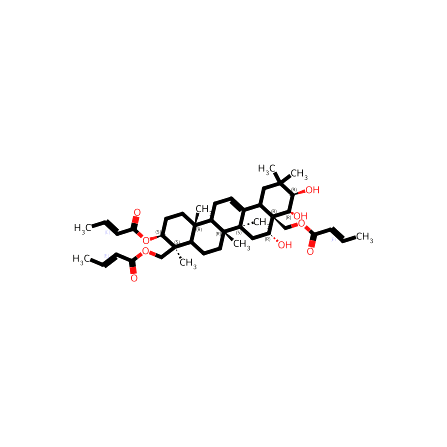 C/C=C/C(=O)OC[C@@]12C(CC(C)(C)[C@@H](O)[C@@H]1O)C1=CCC3[C@@]4(C)CC[C@H](OC(=O)/C=C/C)[C@](C)(COC(=O)/C=C/C)C4CC[C@@]3(C)[C@]1(C)C[C@H]2O